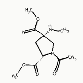 CN[C@@]1(C(=O)OC)C[C@@H](C(=O)OC)N(C(C)=O)C1